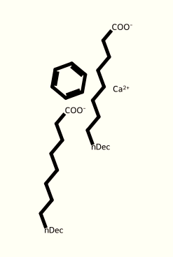 CCCCCCCCCCCCCCCCCC(=O)[O-].CCCCCCCCCCCCCCCCCC(=O)[O-].[Ca+2].c1ccccc1